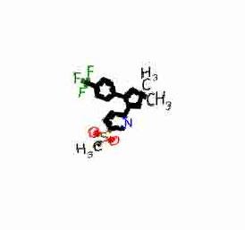 CC1(C)C=C(c2ccc(C(F)(F)F)cc2)C(c2ccc(S(C)(=O)=O)cn2)=C1